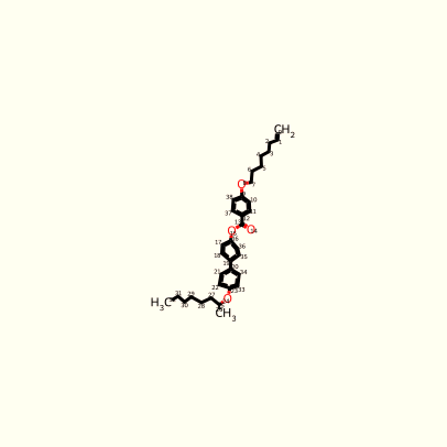 C=CCCCCCCOc1ccc(C(=O)Oc2ccc(-c3ccc(O[C@@H](C)CCCCCC)cc3)cc2)cc1